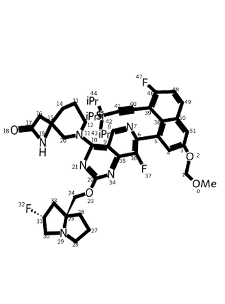 COCOc1cc(-c2ncc3c(N4CCCC5(CC(=O)N5)C4)nc(OC[C@@]45CCCN4C[C@H](F)C5)nc3c2F)c2c(C#C[Si](C(C)C)(C(C)C)C(C)C)c(F)ccc2c1